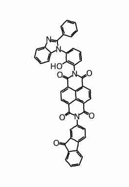 O=C1c2ccccc2-c2ccc(N3C(=O)c4ccc5c6c(ccc(c46)C3=O)C(=O)N(c3cccc(-n4c(-c6ccccc6)nc6ccccc64)c3O)C5=O)cc21